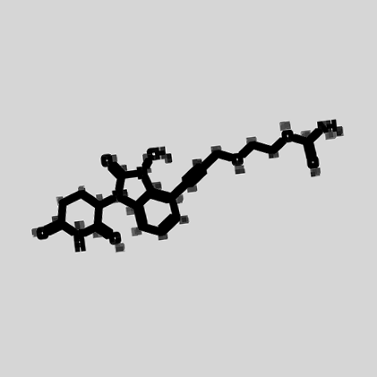 Cn1c(=O)n(C2CCC(=O)NC2=O)c2cccc(C#CCOCCOC(N)=O)c21